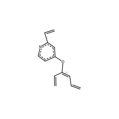 C=C/C=C(\C=C)Oc1ccnc(C=C)c1